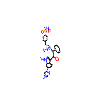 Cn1cnc(-c2ccc3c(C(=O)[C@@H](NCCc4ccc(S(N)(=O)=O)cc4)c4ccccc4)c[nH]c3c2)c1